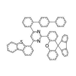 c1ccc(-c2ccc(-c3ccccc3-c3cc(-c4cccc5c4sc4ccccc45)nc(-c4cccc5c4Oc4ccccc4C54c5ccccc5-c5ccccc54)n3)cc2)cc1